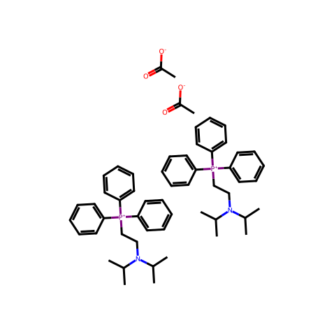 CC(=O)[O-].CC(=O)[O-].CC(C)N(CC[P+](c1ccccc1)(c1ccccc1)c1ccccc1)C(C)C.CC(C)N(CC[P+](c1ccccc1)(c1ccccc1)c1ccccc1)C(C)C